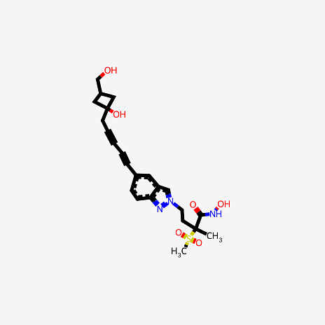 CC(CCn1cc2cc(C#CC#CCC3(O)CC(CO)C3)ccc2n1)(C(=O)NO)S(C)(=O)=O